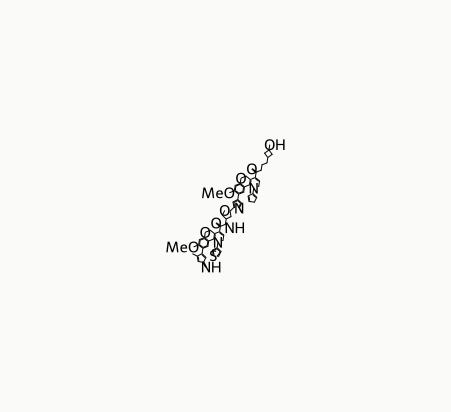 COc1cc2c(cc1C1=CC(=N)C=C1C)C1=C(CO2)C(C(=O)C(=N)C2COC(c3cc(-c4cc5c(cc4OC)OCC4=C5N(C5=CCC=C5)CC=C4C(=O)CCCC4CC(O)C4)cn3C)C2)=CCN1c1ccsc1